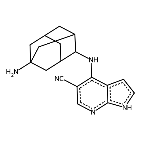 N#Cc1cnc2[nH]ccc2c1NC1C2CC3CC1CC(N)(C3)C2